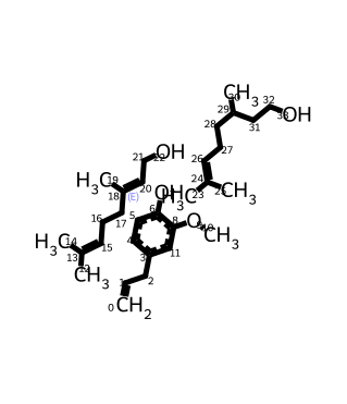 C=CCc1ccc(O)c(OC)c1.CC(C)=CCC/C(C)=C/CO.CC(C)=CCCC(C)CCO